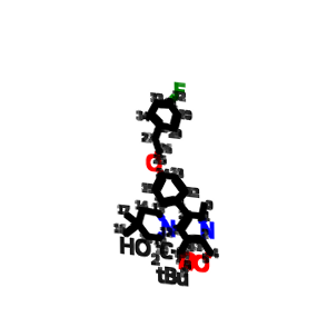 Cc1nc(CO)c([C@H](OC(C)(C)C)C(=O)O)c(N2CCC(C)(C)CC2)c1-c1ccc(OCCc2ccc(F)cc2)cc1